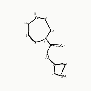 O=C(OC1CNC1)N1CCCOCC1